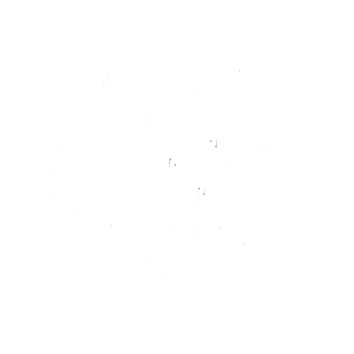 c1ccc(-c2nc(-c3c(-c4ccccc4)ccc4oc5cc6ccccc6cc5c34)nc(-c3cccc4sc5ccccc5c34)n2)cc1